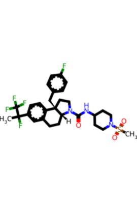 CC(F)(c1ccc2c(c1)CC[C@H]1N(C(=O)NC3CCN(S(C)(=O)=O)CC3)CC[C@@]21Cc1ccc(F)cc1)C(F)(F)F